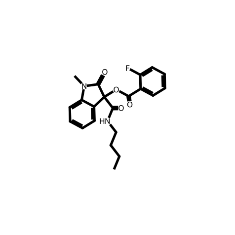 CCCCNC(=O)C1(OC(=O)c2ccccc2F)C(=O)N(C)c2ccccc21